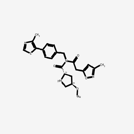 Cc1cc(CC(=O)N(Cc2ccc(-c3scnc3C)cc2)C(=O)[C@@H]2C[C@@H](OC(C)(C)C)CN2)on1